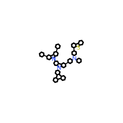 c1ccc(-c2ccc3c(c2)c2cc(-c4ccccc4)ccc2n3-c2ccc3c(c2)c2cc(-c4ccc(N(c5ccccc5)c5ccc(-c6cccc7c6sc6ccccc67)cc5)cc4)ccc2n3-c2ccc3c4ccccc4c4ccccc4c3c2)cc1